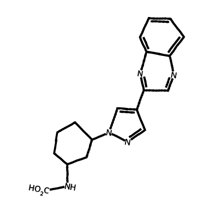 O=C(O)NC1CCCC(n2cc(-c3cnc4ccccc4n3)cn2)C1